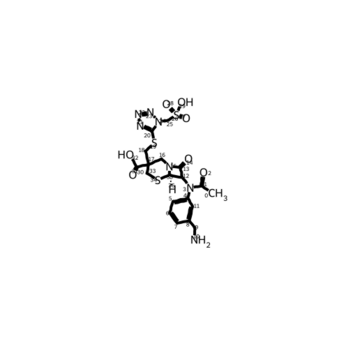 CC(=O)N(c1cccc(CN)c1)C1C(=O)N2CC(CSc3nnnn3CS(=O)(=O)O)(C(=O)O)CS[C@H]12